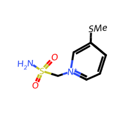 CSc1ccc[n+](CS(N)(=O)=O)c1